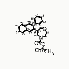 CC(Cl)OC(=O)N1CCO[C@@H](c2ccccc2)[C@H](c2ccc3ccccc3c2)C1